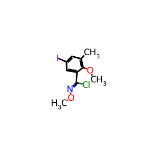 CON=C(Cl)c1cc(I)cc(C)c1OC